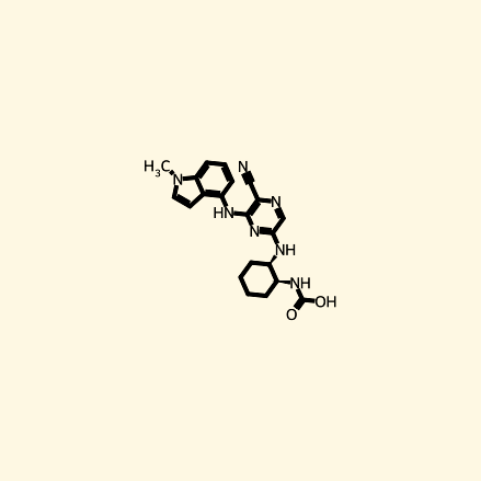 Cn1ccc2c(Nc3nc(N[C@@H]4CCCC[C@@H]4NC(=O)O)cnc3C#N)cccc21